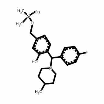 CC1CCN(C(c2ccc(F)cc2)c2ccc(CO[Si](C)(C)C(C)(C)C)cc2O)CC1